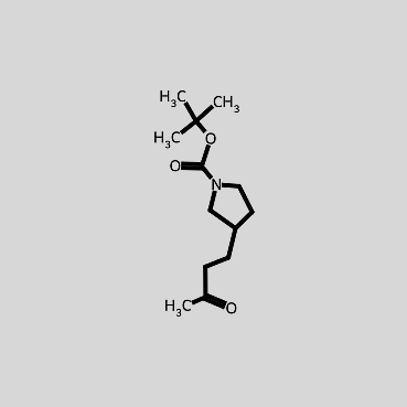 CC(=O)CCC1CCN(C(=O)OC(C)(C)C)C1